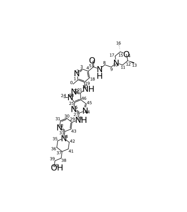 Cc1ncc(C(=O)NCCN2C[C@H](C)O[C@@H](C)C2)cc1Nc1nn(C)c2nc(Nc3ccnc(N4CCC(CCO)CC4)c3)ncc12